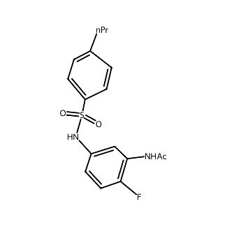 CCCc1ccc(S(=O)(=O)Nc2ccc(F)c(NC(C)=O)c2)cc1